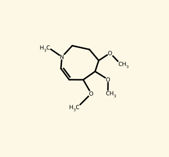 COC1/C=C\N(C)CCC(OC)C1OC